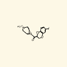 CN1CCN(C(=O)C2COc3cc(I)ccc3O2)CC1